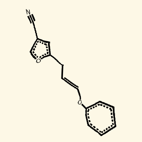 N#Cc1coc(CC=COc2ccccc2)c1